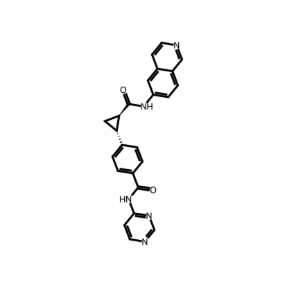 O=C(Nc1ccncn1)c1ccc([C@@H]2C[C@H]2C(=O)Nc2ccc3cnccc3c2)cc1